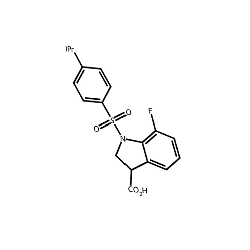 CC(C)c1ccc(S(=O)(=O)N2CC(C(=O)O)c3cccc(F)c32)cc1